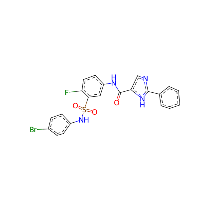 O=C(Nc1ccc(F)c(S(=O)(=O)Nc2ccc(Br)cc2)c1)c1cnc(-c2ccccc2)[nH]1